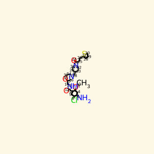 CCOc1cc(N)c(Cl)cc1C(=O)NCC1CN(CC2CCN(C(=O)/C=C/c3cccs3)CC2)CCO1